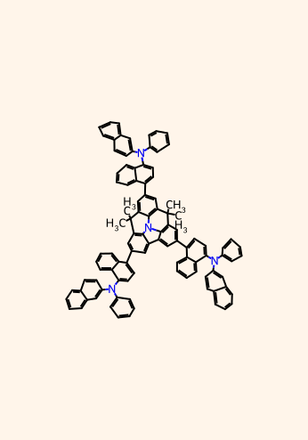 CC1(C)c2cc(-c3ccc(N(c4ccccc4)c4ccc5ccccc5c4)c4ccccc34)cc3c2-n2c4c1cc(-c1ccc(N(c5ccccc5)c5ccc6ccccc6c5)c5ccccc15)cc4c1cc(-c4ccc(N(c5ccccc5)c5ccc6ccccc6c5)c5ccccc45)cc(c12)C3(C)C